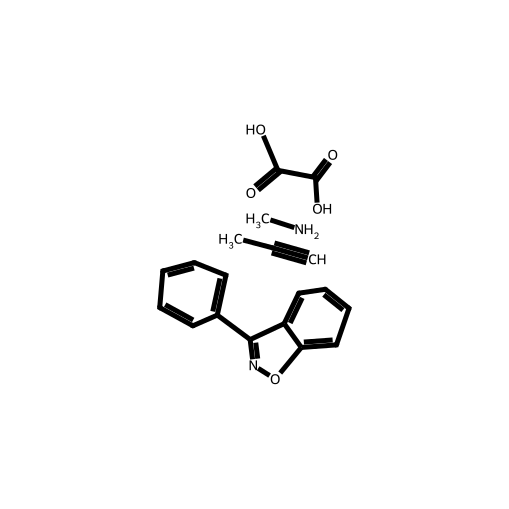 C#CC.CN.O=C(O)C(=O)O.c1ccc(-c2noc3ccccc23)cc1